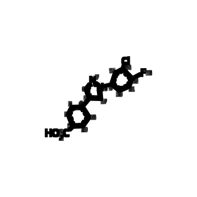 O=C(O)c1ccc(-c2cnn(-c3ccc(F)c(Cl)c3)c2)cc1